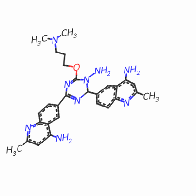 Cc1cc(N)c2cc(C3=NC(c4ccc5nc(C)cc(N)c5c4)N(N)C(OCCCN(C)C)=N3)ccc2n1